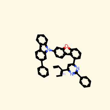 C=C/C(=C\C)c1cc(-c2cccc3oc4cc(-n5c6ccccc6c6ccc(-c7ccccc7)cc65)ccc4c23)nc(-c2ccccc2)n1